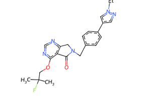 CCn1cc(-c2ccc(CN3Cc4ncnc(OCC(C)(C)F)c4C3=O)cc2)cn1